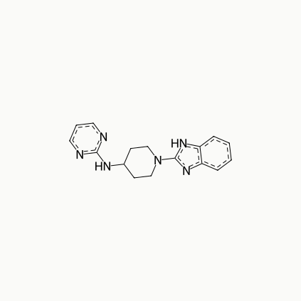 c1cnc(NC2CCN(c3nc4ccccc4[nH]3)CC2)nc1